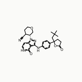 CC(C)(C)CC1(c2ccc(Nc3nn([C@H]4COCCC4C#N)c4cc[nH]c(=O)c34)cc2)CCC(=O)O1